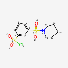 O=S(=O)(Cl)c1cccc(S(=O)(=O)N2CCCCC2)c1